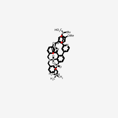 COc1ccc(CN(Cc2ccc(OC)cc2)S(=O)(=O)c2c(S(=O)(=O)CC[Si](C)(C)C)ccc(-c3ccnc(NCCN(C(=O)O)C(C)(C)C)c3)c2-c2nnn(Cc3ccc(OC)cc3)n2)cc1